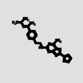 CN(N)/N=C(\N)c1ccc(CCNc2nc(N)n3nc(-c4ccco4)nc3n2)cc1